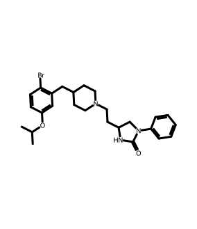 CC(C)Oc1ccc(Br)c(CC2CCN(CCC3CN(c4ccccc4)C(=O)N3)CC2)c1